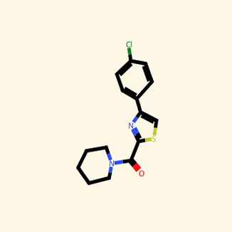 O=C(c1nc(-c2ccc(Cl)cc2)cs1)N1CCCCC1